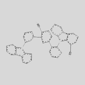 N#Cc1ccc(-c2ccccc2-n2c3ccccc3c3cccc(C#N)c32)cc1-c1cccc(-n2c3ccccc3c3ccccc32)c1